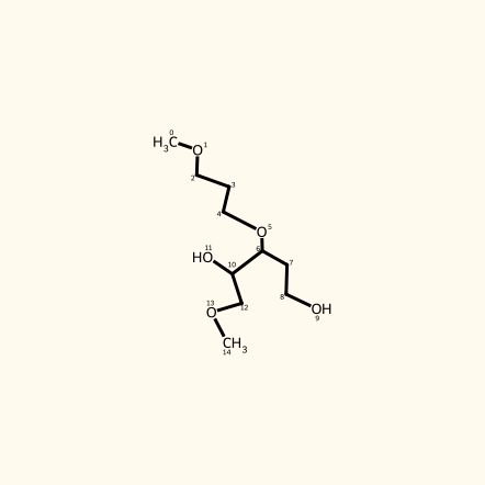 COCCCOC(CCO)C(O)COC